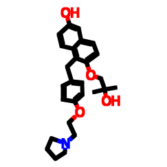 CC(C)(O)COc1ccc2cc(O)ccc2c1Cc1ccc(OCCN2CCCC2)cc1